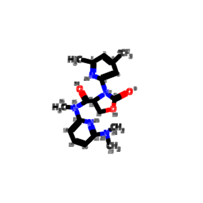 Cc1cc(C(F)(F)F)cc(N2C(=O)OCC2C(=O)N(C)c2cccc(N(C)C)n2)n1